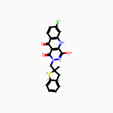 CC1(Cn2nc(O)c3[nH]c4cc(Cl)ccc4c(=O)c3c2=O)Cc2ccccc2S1